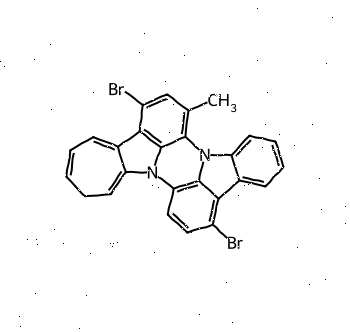 Cc1cc(Br)c2c3c(n4c5ccc(Br)c6c7ccccc7n(c1c24)c65)=CCC=CC=3